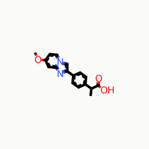 COc1ccn2cc(-c3ccc(C(C)C(=O)O)cc3)nc2c1